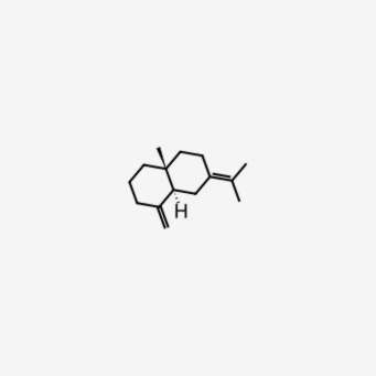 C=C1CCC[C@]2(C)CCC(=C(C)C)C[C@@H]12